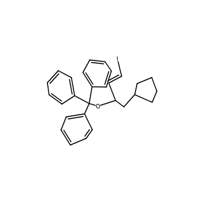 IC=CC(CC1CCCC1)OC(c1ccccc1)(c1ccccc1)c1ccccc1